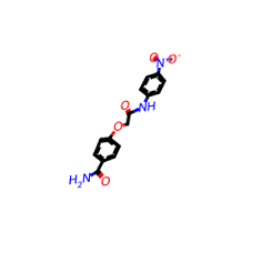 NC(=O)c1ccc(OCC(=O)Nc2ccc([N+](=O)[O-])cc2)cc1